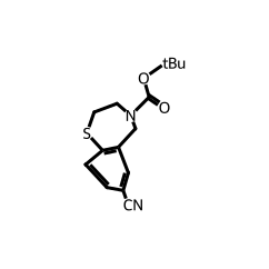 CC(C)(C)OC(=O)N1CCSc2ccc(C#N)cc2C1